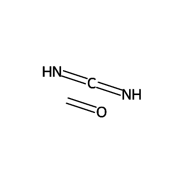 C=O.N=C=N